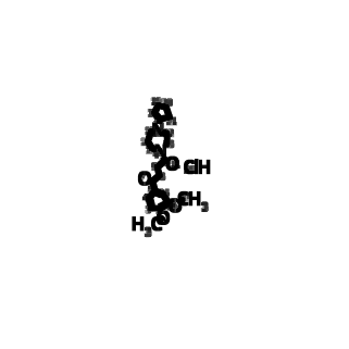 COc1ccc(C(=O)CCC(=O)N2CCCN(C3CCCC3)CC2)cc1OC.Cl